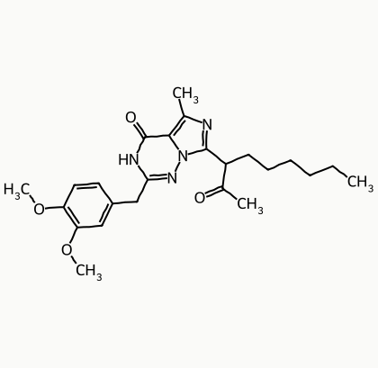 CCCCCCC(C(C)=O)c1nc(C)c2c(=O)[nH]c(Cc3ccc(OC)c(OC)c3)nn12